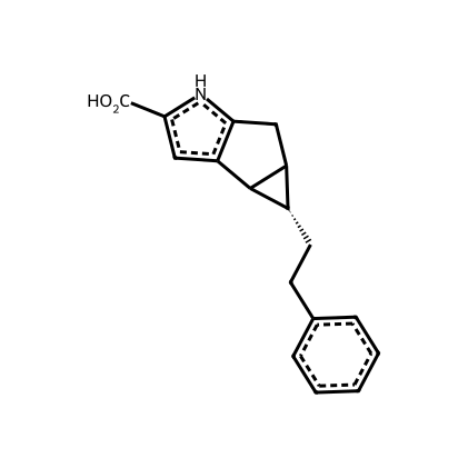 O=C(O)c1cc2c([nH]1)CC1C2[C@H]1CCc1ccccc1